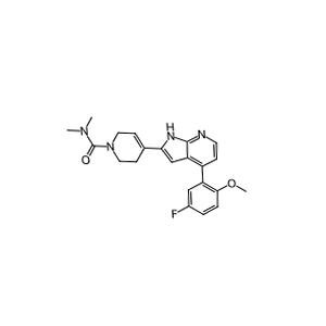 COc1ccc(F)cc1-c1ccnc2[nH]c(C3=CCN(C(=O)N(C)C)CC3)cc12